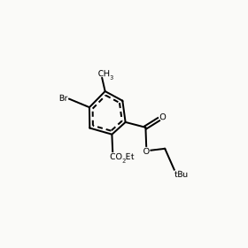 CCOC(=O)c1cc(Br)c(C)cc1C(=O)OCC(C)(C)C